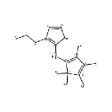 CCCC1=[C]([Hf][C]2=C(C)C(C)=C(C)C2(C)C)CC=C1